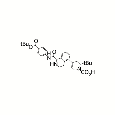 CC(C)(C)OC(=O)c1ccc(NC(=O)C2NCCc3c(C4=CCN(C(=O)O)C(C(C)(C)C)C4)cccc32)cc1